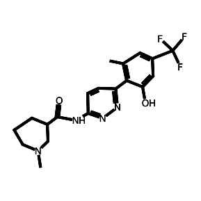 Cc1cc(C(F)(F)F)cc(O)c1-c1ccc(NC(=O)C2CCCN(C)C2)nn1